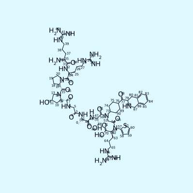 C[C@H](NC(=O)CNC(=O)[C@@H]1CC(O)CN1C(=O)[C@@H]1CCCN1C(=O)[C@H](CCCNC(=N)N)NC(=O)[C@H](N)CCCNC(=N)N)C(=O)N[C@@H](CO)C(=O)N(CC(=O)N(c1cccs1)[C@@H](CCCNC(=N)N)C(=O)O)C1CCC(C(=O)C2Cc3ccccc3CN2)CC1